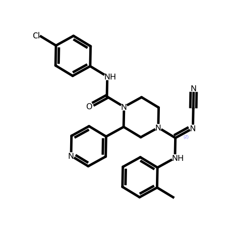 Cc1ccccc1N/C(=N/C#N)N1CCN(C(=O)Nc2ccc(Cl)cc2)C(c2ccncc2)C1